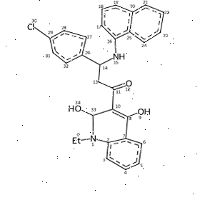 CCN1c2ccccc2C(O)=C(C(=O)CC(Nc2cccc3ccccc23)c2ccc(Cl)cc2)C1O